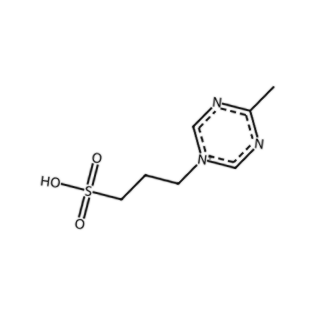 Cc1nc[n+](CCCS(=O)(=O)O)cn1